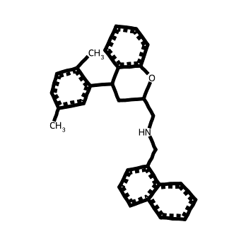 Cc1ccc(C)c(C2CC(CNCc3cccc4ccccc34)Oc3ccccc32)c1